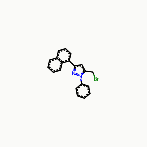 BrCc1cc(-c2cccc3ccccc23)nn1-c1ccccc1